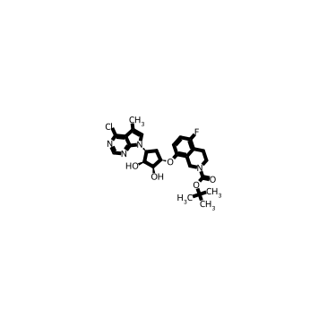 Cc1cn([C@@H]2C[C@H](Oc3ccc(F)c4c3CN(C(=O)OC(C)(C)C)CC4)[C@@H](O)[C@H]2O)c2ncnc(Cl)c12